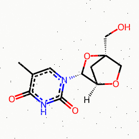 Cc1cn([C@@H]2O[C@@]3(CO)CO[C@@H]2C3)c(=O)[nH]c1=O